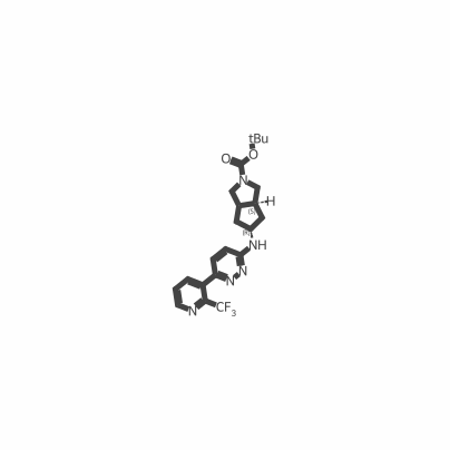 CC(C)(C)OC(=O)N1CC2C[C@@H](Nc3ccc(-c4cccnc4C(F)(F)F)nn3)C[C@@H]2C1